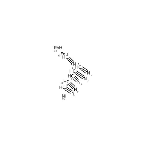 C#N.C#N.C#N.C#N.C#N.C#N.[Fe].[Ni].[RbH]